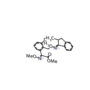 CO/N=C(/C(=O)OC)c1cccc(C)c1CO/N=C1/c2ccccc2CC1C